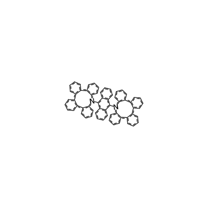 c1ccc2c(-n3c4ccccc4c4ccccc4c4ccccc4c4ccccc43)c3ccccc3c(-n3c4ccccc4c4ccccc4c4ccccc4c4ccccc43)c2c1